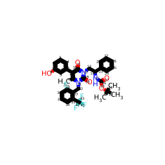 Cc1c(-c2cccc(O)c2)c(=O)n(CC(NC(=O)OC(C)(C)C)c2ccccc2)c(=O)n1Cc1c(F)cccc1C(F)(F)F